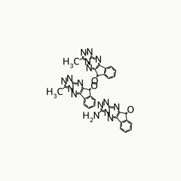 Cc1nnc2nc3c(nn12)-c1ccccc1C3=O.Cc1nnc2nc3c(nn12)C(=O)c1ccccc1-3.Nc1nnc2nc3c(nn12)-c1ccccc1C3=O